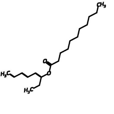 CCCCCCCCCCC(=O)OC(CC)CCCCC